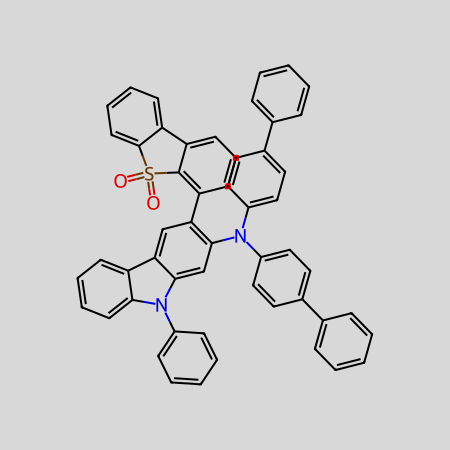 O=S1(=O)c2ccccc2-c2cccc(-c3cc4c5ccccc5n(-c5ccccc5)c4cc3N(c3ccc(-c4ccccc4)cc3)c3ccc(-c4ccccc4)cc3)c21